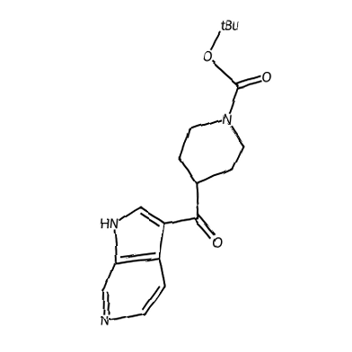 CC(C)(C)OC(=O)N1CCC(C(=O)c2c[nH]c3cnccc23)CC1